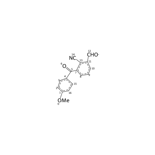 COc1ccc(C(=O)c2cccc([C]=O)c2C#N)cc1